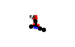 O=C(Nc1ccc(C2CCCCC2)cc1)c1nc(-c2ccccc2)oc1Cc1ccc(OS(=O)(=O)C(F)(F)F)cc1